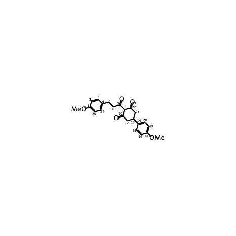 COc1ccc(CCC(=O)C2C(=O)CC(c3ccc(OC)cc3)CC2=O)cc1